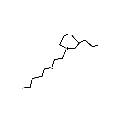 CCCCCOCCN1CCOC(CCC)C1